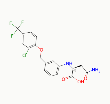 NC(=O)C[C@H](Nc1cccc(COc2ccc(C(F)(F)F)cc2Cl)c1)C(=O)O